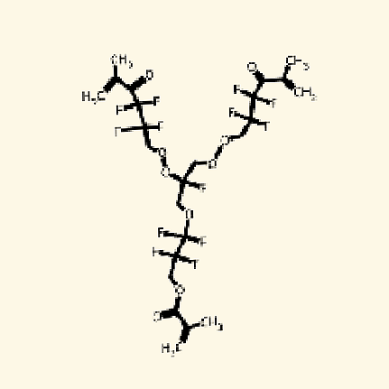 C=C(C)C(=O)OCC(F)(F)C(F)(F)OCC(F)(COOCC(F)(F)C(F)(F)C(=O)C(=C)C)OOCC(F)(F)C(F)(F)C(=O)C(=C)C